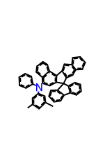 Cc1cc(C)cc(N(c2ccccc2)c2cc3c(c4ccccc24)-c2cc4ccccc4cc2C32c3ccccc3-c3ccccc32)c1